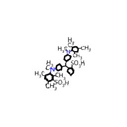 Cc1cc(C)c(N(C)c2ccc(C(c3ccc(N(C)c4c(C)cc(C)c(S(=O)(=O)O)c4C)cc3)c3ccccc3S(=O)(=O)O)cc2)c(C)c1